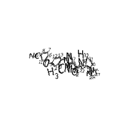 Cc1cc(Oc2cccc(C#N)c2)ccc1-n1ncc(C(=O)c2cc3c(-n4cccn4)cccc3[nH]2)c1N